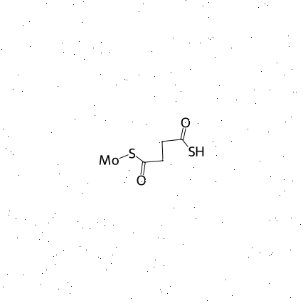 O=C(S)CCC(=O)[S][Mo]